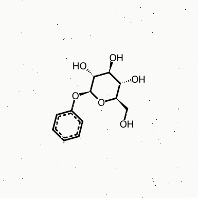 OC[C@H]1O[C@@H](Oc2cc[c]cc2)[C@H](O)[C@@H](O)[C@@H]1O